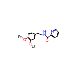 CCOc1ccc(CCNC(=O)c2ccccn2)cc1OCC